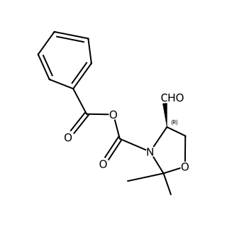 CC1(C)OC[C@H](C=O)N1C(=O)OC(=O)c1ccccc1